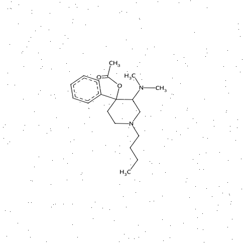 CCCCN1CCC(OC(C)=O)(c2ccccc2)C(N(C)C)C1